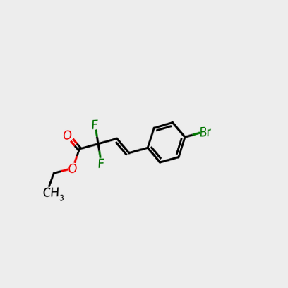 CCOC(=O)C(F)(F)/C=C/c1ccc(Br)cc1